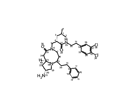 CC(C)C[C@@H](CN1CCC(CCc2ccccc2)N2C[C@H](N)C[C@H]2CC1=O)C(=O)NCCc1ccc(Cl)c(Cl)c1